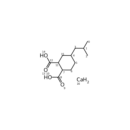 CC(C)CC1CCC(C(=O)O)C(C(=O)O)C1.[CaH2]